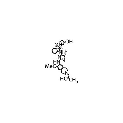 COc1cc2c(cc1Nc1ncc(Cl)c(Nc3ccccc3S(=O)(=O)N3CC[C@@H](O)C3)n1)CCN(C[C@H](C)O)CC2